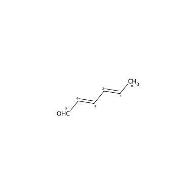 C/C=C/C=C/[C]=O